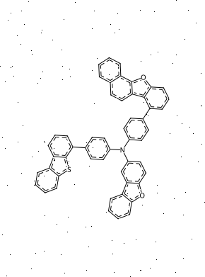 c1ccc2c(c1)ccc1c2oc2cccc(-c3ccc(N(c4ccc(-c5cccc6c5sc5ccccc56)cc4)c4ccc5oc6ccccc6c5c4)cc3)c21